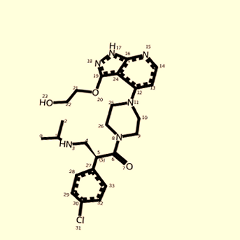 CC(C)NC[C@@H](C(=O)N1CCN(c2ccnc3[nH]nc(OCCO)c23)CC1)c1ccc(Cl)cc1